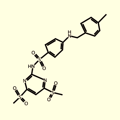 Cc1ccc(CNc2ccc(S(=O)(=O)Nc3nc(S(C)(=O)=O)cc(S(C)(=O)=O)n3)cc2)cc1